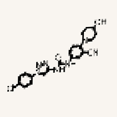 N#Cc1cc(NC(=O)Nc2cn(-c3ccc(Cl)cc3)nn2)ccc1N1CCC(O)CC1